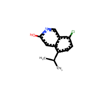 CC(C)c1ccc(Cl)c2cnc(O)cc12